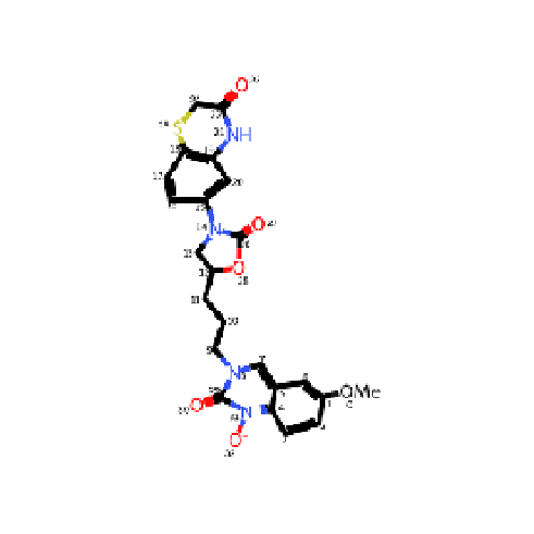 COc1ccc2c(c1)cn(CCCC1CN(c3ccc4c(c3)NC(=O)CS4)C(=O)O1)c(=O)[n+]2[O-]